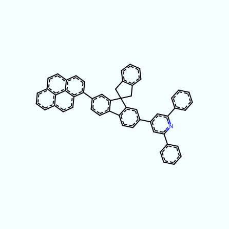 c1ccc(-c2cc(-c3ccc4c(c3)C3(Cc5ccccc5C3)c3cc(-c5ccc6ccc7cccc8ccc5c6c78)ccc3-4)cc(-c3ccccc3)n2)cc1